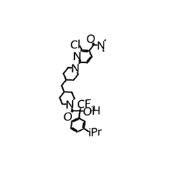 CC(C)c1cccc(C(O)(C(=O)N2CCC(CC3CCN(c4ccc(C(=O)N(C)C)c(Cl)n4)CC3)CC2)C(F)(F)F)c1